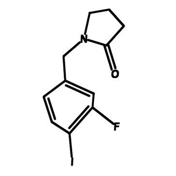 O=C1CCCN1Cc1ccc(I)c(F)c1